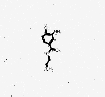 C=CCOC(=O)c1ccc(O)c(N)c1